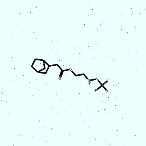 O=C(CC1CC2CCC1C2)OCCNSC(F)(F)F